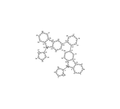 c1coc(-n2c3ccccc3c3cc(-c4ccccc4-c4ccc5c(c4)c4ccccc4n5-c4ccco4)ccc32)c1